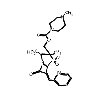 CN1CCN(C(=O)OC[C@@]2(C)[C@H](C(=O)O)N3C(=O)/C(=C/c4ccccn4)C3S2(=O)=O)CC1